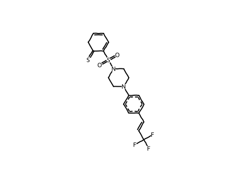 O=S(=O)(C1=CC=CCC1=S)N1CCN(c2ccc(C=CC(F)(F)F)cc2)CC1